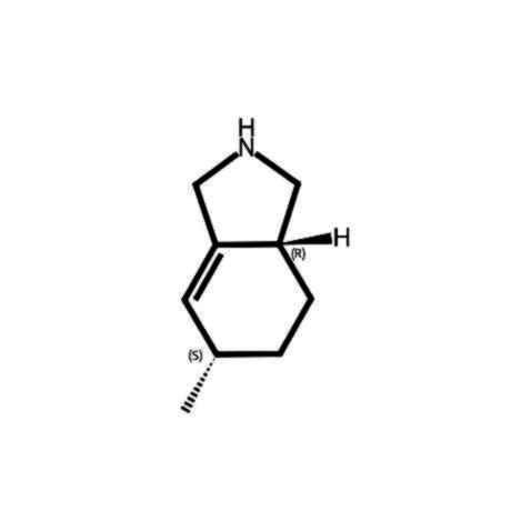 C[C@@H]1C=C2CNC[C@@H]2CC1